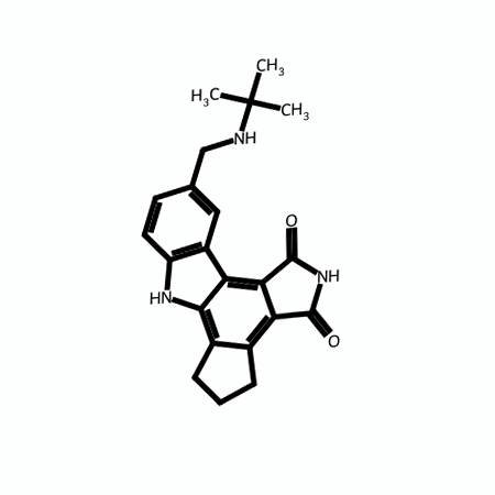 CC(C)(C)NCc1ccc2[nH]c3c4c(c5c(c3c2c1)C(=O)NC5=O)CCC4